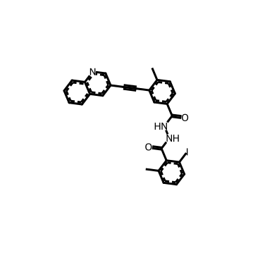 Cc1ccc(C(=O)NNC(=O)c2c(C)cccc2I)cc1C#Cc1cnc2ccccc2c1